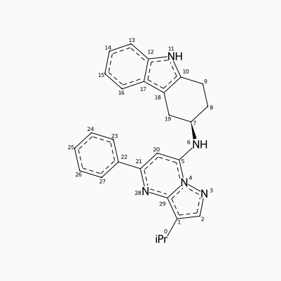 CC(C)c1cnn2c(N[C@@H]3CCc4[nH]c5ccccc5c4C3)cc(-c3ccccc3)nc12